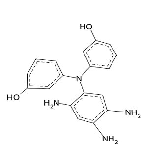 Nc1cc(N)c(N(c2cccc(O)c2)c2cccc(O)c2)cc1N